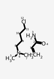 C=CC(N)=O.CN(C)CCCCCl